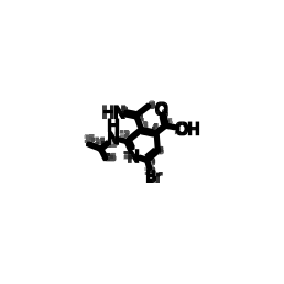 CC(=N)c1c(C(=O)O)cc(Br)nc1NC(C)C